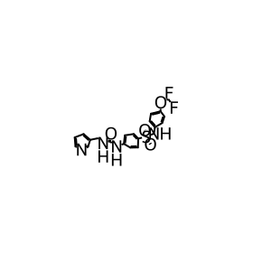 O=C(NCc1cccnc1)Nc1ccc(S(=O)(=O)Nc2ccc(OC(F)F)cc2)cc1